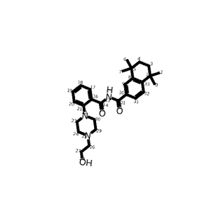 CC1(C)CCC(C)(C)c2cc(C(=O)NC(=O)c3ccccc3N3CCN(CCO)CC3)ccc21